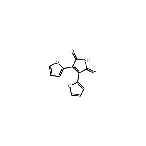 O=C1NC(=O)C(c2ccco2)=C1c1ccco1